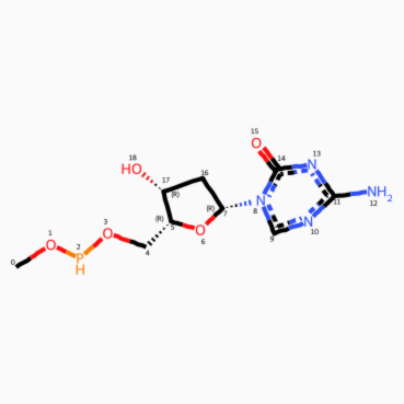 COPOC[C@H]1O[C@@H](n2cnc(N)nc2=O)C[C@H]1O